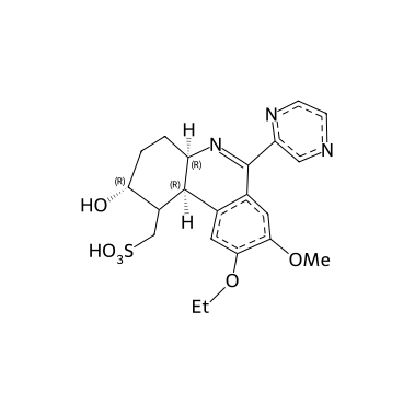 CCOc1cc2c(cc1OC)C(c1cnccn1)=N[C@@H]1CC[C@@H](O)C(CS(=O)(=O)O)[C@H]21